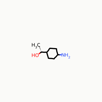 C[C@@H](O)C1CCC(N)CC1